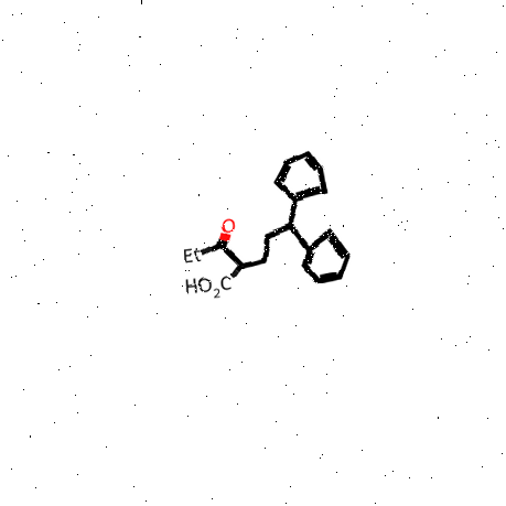 CCC(=O)C(CCC(c1ccccc1)c1ccccc1)C(=O)O